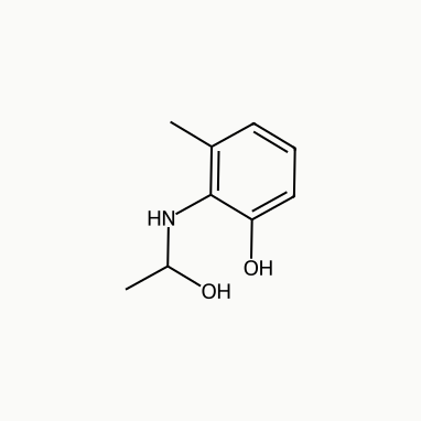 Cc1cccc(O)c1NC(C)O